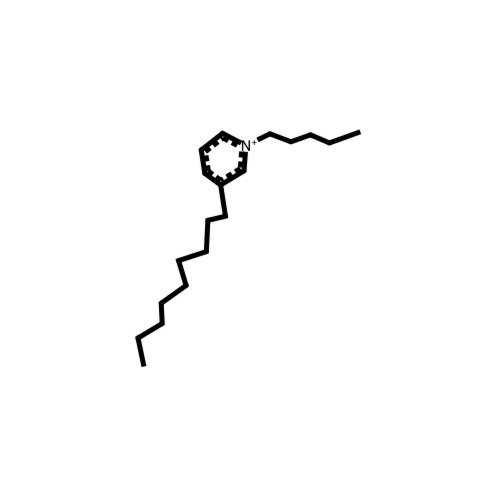 CCCCCCCCCc1ccc[n+](CCCCC)c1